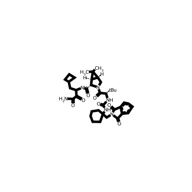 CC(C)(C)[C@H](NC(=O)NC1(CN2C(=O)c3ccccc3C2=O)CCCCC1)C(=O)N1C[C@H]2[C@@H]([C@H]1C(=O)NC(CC1CCC1)C(=O)C(N)=O)C2(C)C